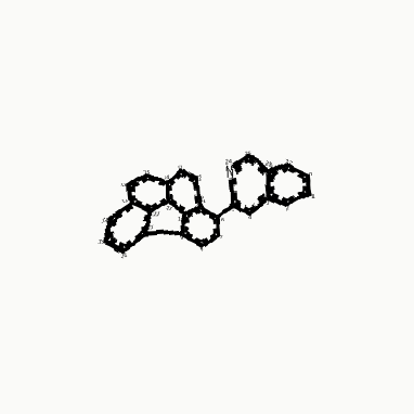 c1ccc2cc(-c3ccc4c5c3ccc3ccc6cccc-4c6c35)ncc2c1